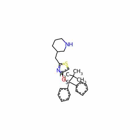 CC(C)(C)[Si](Oc1csc(CC2CCCNC2)n1)(c1ccccc1)c1ccccc1